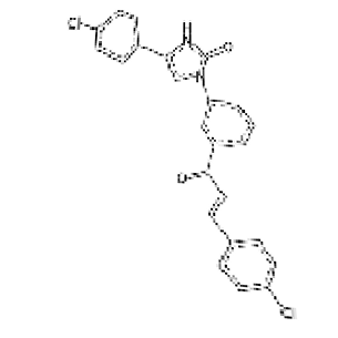 O=C(/C=C/c1ccc(Cl)cc1)c1cccc(-n2cc(-c3ccc(Cl)cc3)[nH]c2=O)c1